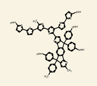 CCCCCCc1ccc(C2(c3ccc(C)cc3)c3cc4c(cc3-c3sc(C)cc32)C(c2ccc(CCCCCC)cc2)(c2ccc(CCCCCC)cc2)c2cc(-c3sc(-c5cc(-c6ccc(-c7ccc(CCCCCC)s7)s6)c(C)s5)cc3-c3ccc(-c5ccc(CCCCCC)s5)s3)sc2-4)cc1